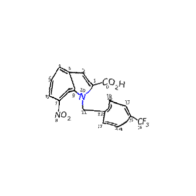 O=C(O)c1cc2cccc([N+](=O)[O-])c2n1Cc1ccc(C(F)(F)F)cc1